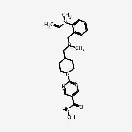 C=CN(C)c1ccccc1CN(C)CC1CCN(c2ncc(C(=O)NO)cn2)CC1